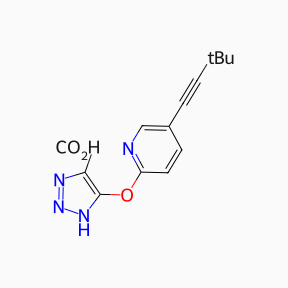 CC(C)(C)C#Cc1ccc(Oc2[nH]nnc2C(=O)O)nc1